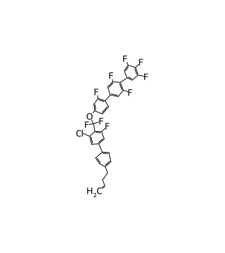 C=CCCc1ccc(-c2cc(F)c(C(F)(F)Oc3ccc(-c4cc(F)c(-c5cc(F)c(F)c(F)c5)c(F)c4)c(F)c3)c(Cl)c2)cc1